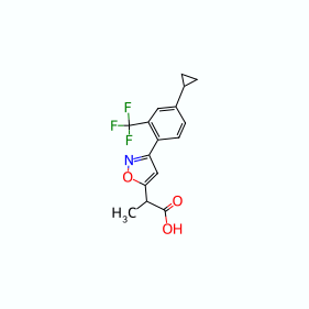 CC(C(=O)O)c1cc(-c2ccc(C3CC3)cc2C(F)(F)F)no1